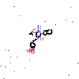 CC(C)C[C@@H]1C(=O)N[C@H](C2Cc3ccccc3C2)C(=O)N1CCc1ccc([N+](=O)[O-])cc1